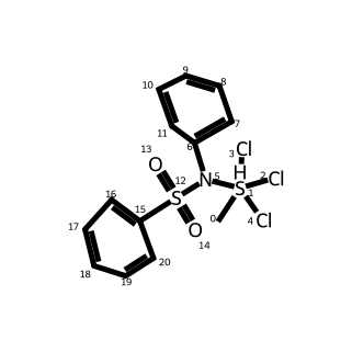 C[SH](Cl)(Cl)(Cl)N(c1ccccc1)S(=O)(=O)c1ccccc1